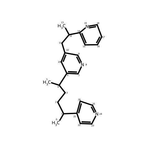 CC(CCC(C)c1cncc(CC(C)c2ccccn2)c1)c1ccncc1